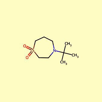 CC(C)(C)N1CCCS(=O)(=O)CC1